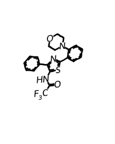 O=C(Nc1sc(-c2ccccc2N2CCOCC2)nc1-c1ccccc1)C(F)(F)F